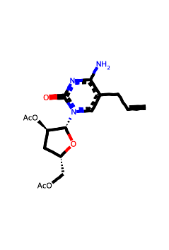 C=CCc1cn([C@@H]2O[C@H](COC(C)=O)C[C@H]2OC(C)=O)c(=O)nc1N